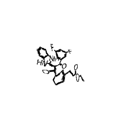 CCOC(=O)C=Cc1cccc(C(=O)C(C(=O)c2cc(F)cc(F)c2)=C2Nc3ccccc3N2)c1